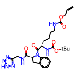 C=CCOC(=O)NCCCC[C@H](NC(=O)OC(C)(C)C)C(=O)N1c2ccccc2C[C@H]1C(=O)NCc1nn[nH]n1